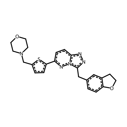 c1cc2c(cc1Cc1nnc3ccc(-c4ccc(CN5CCOCC5)s4)nn13)CCO2